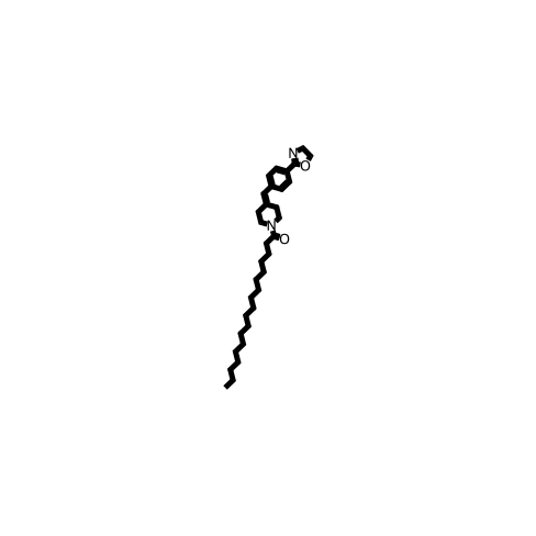 CCCCCCCCCCCCCCCCCC(=O)N1CCC(=Cc2ccc(C3=NCCO3)cc2)CC1